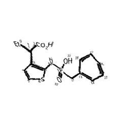 CCC(C(=O)O)c1ccsc1NP(=O)(O)Cc1ccccc1